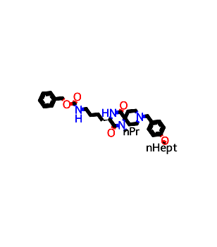 CCCCCCCOc1ccc(CN2CCC3(CC2)C(=O)N[C@@H](CCCCNC(=O)OCc2ccccc2)C(=O)N3CCC)cc1